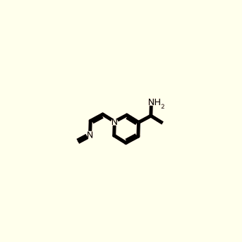 C=N/C=C\N1C=C(C(C)N)C=CC1